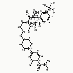 Cc1cc(N2CCC(CC3CCN(C(=O)[C@](O)(c4cccc(C(F)(F)F)c4)C(F)(F)F)CC3)CC2)ccc1C(=O)N(C)C